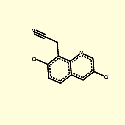 N#CCc1c(Cl)ccc2cc(Cl)cnc12